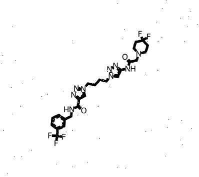 O=C(CN1CCC(F)(F)CC1)Nc1cn(CCCCn2cc(C(=O)NCc3cccc(C(F)(F)F)c3)nn2)nn1